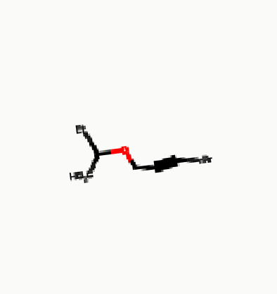 CCCC#CCOC(CC)C(=O)O